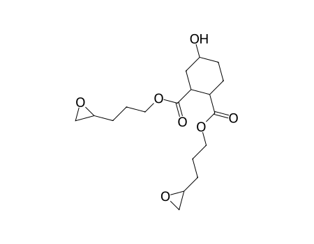 O=C(OCCCC1CO1)C1CCC(O)CC1C(=O)OCCCC1CO1